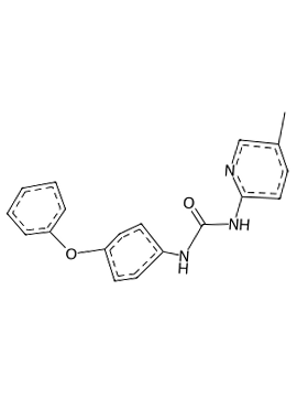 Cc1ccc(NC(=O)Nc2ccc(Oc3ccccc3)cc2)nc1